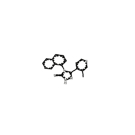 Cc1cnccc1-c1n[nH]c(=S)n1-c1cccc2ccccc12